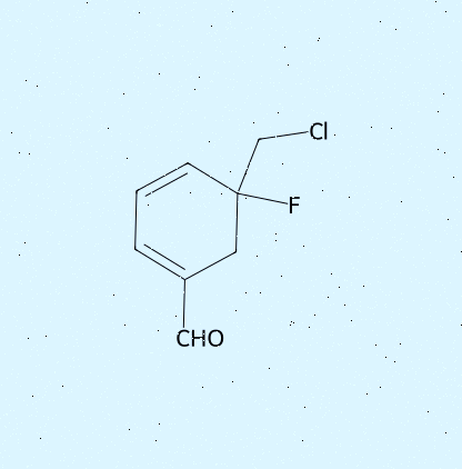 O=CC1=CC=CC(F)(CCl)C1